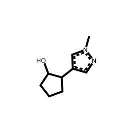 Cn1cc(C2CCCC2O)cn1